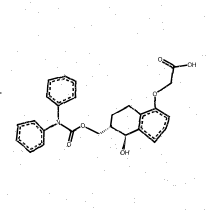 O=C(O)COc1cccc2c1CC[C@@H](COC(=O)N(c1ccccc1)c1ccccc1)[C@@H]2O